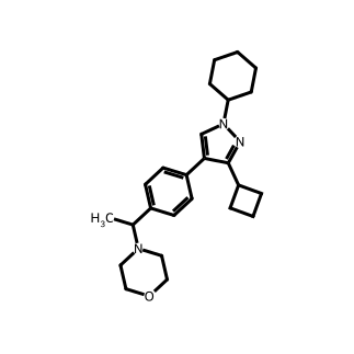 CC(c1ccc(-c2cn(C3CCCCC3)nc2C2CCC2)cc1)N1CCOCC1